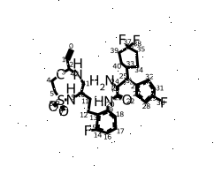 C#CC1CCCS(=O)(=O)NC(CCc2c(F)cccc2NC(=O)[C@@H](N)[C@H](c2ccc(F)cc2)C2CCC(F)(F)CC2)CN1